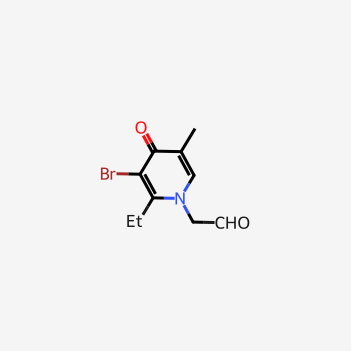 CCc1c(Br)c(=O)c(C)cn1CC=O